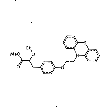 CCOC(Cc1ccc(OCCN2c3ccccc3Sc3ccccc32)cc1)C(=O)OC